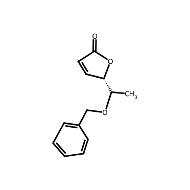 CC(OCc1ccccc1)[C@@H]1C=CC(=O)O1